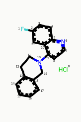 Cl.Fc1ccc2nccc(N3CCc4ccccc4C3)c2c1